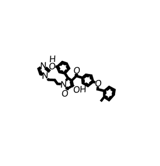 Cc1ccccc1COc1ccc(C(=O)C2=C(O)C(=O)N(CCCn3ccnc3)C2c2cccc(O)c2)cc1